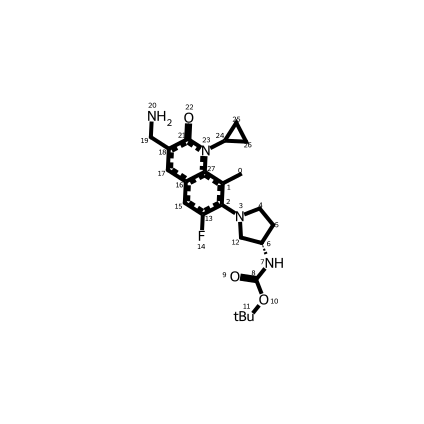 Cc1c(N2CC[C@H](NC(=O)OC(C)(C)C)C2)c(F)cc2cc(CN)c(=O)n(C3CC3)c12